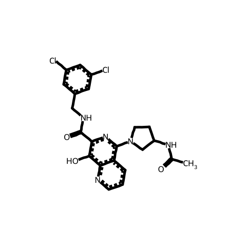 CC(=O)NC1CCN(c2nc(C(=O)NCc3cc(Cl)cc(Cl)c3)c(O)c3ncccc23)C1